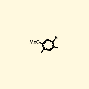 COc1cc(Br)c(C)cc1C